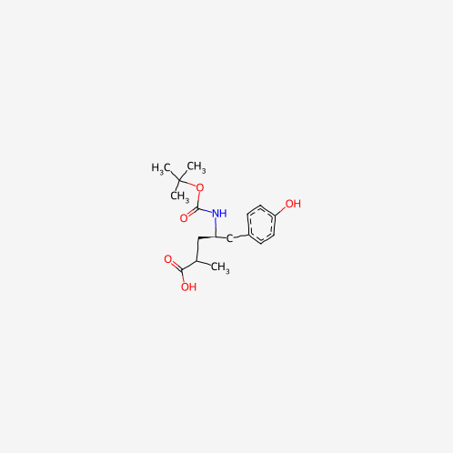 CC(C[C@H](Cc1ccc(O)cc1)NC(=O)OC(C)(C)C)C(=O)O